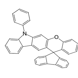 c1ccc(-n2c3ccccc3c3cc4c(cc32)Oc2ccccc2C42c3ccccc3-c3ccccc32)cc1